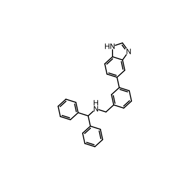 c1ccc(C(NCc2cccc(-c3ccc4[nH]cnc4c3)c2)c2ccccc2)cc1